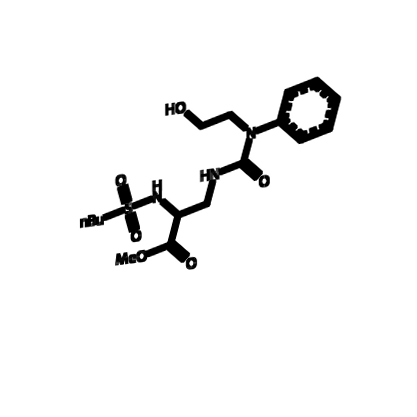 CCCCS(=O)(=O)NC(CNC(=O)N(CCO)c1ccccc1)C(=O)OC